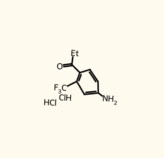 CCC(=O)c1ccc(N)cc1C(F)(F)F.Cl.Cl